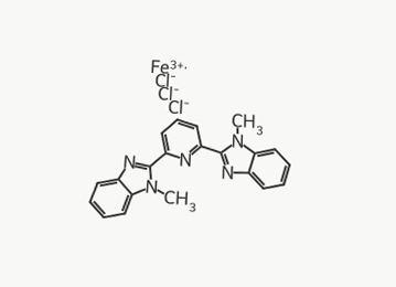 Cn1c(-c2cccc(-c3nc4ccccc4n3C)n2)nc2ccccc21.[Cl-].[Cl-].[Cl-].[Fe+3]